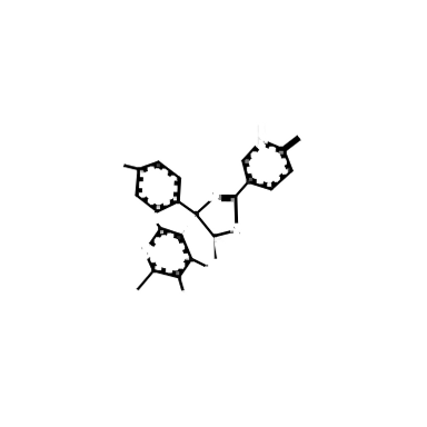 Cc1nc(F)c([C@]2(c3ccc(F)cc3)N=C(c3ccc(=O)[nH]c3)N[C@H]2C)c(F)c1F